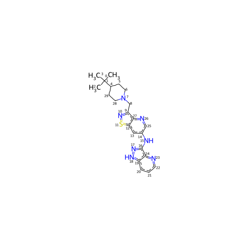 CC(C)(C)C1CCN(Cc2nsc3cc(Nc4n[nH]c5cccnc45)cnc23)CC1